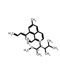 C=C/C=C(\C)c1cc(C)cc2cc[n+]([C@@H](C(C)C(C)C)[C@@H](C)OC)c(C=C)c12